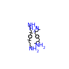 CC(C)(CCCCN)c1ccc(C(C)(C)CCCCN)cc1.CC(N)CC(C)Cc1ccc(CC(C)CC(C)N)cc1